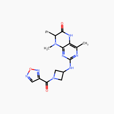 Cc1nc(NC2CN(C(=O)c3cnon3)C2)nc2c1NC(=O)C(C(C)C)N2C